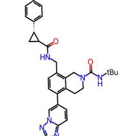 CC(C)(C)NC(=O)N1CCc2c(-c3ccc4ncnn4c3)ccc(CNC(=O)C3C[C@@H]3c3ccccc3)c2C1